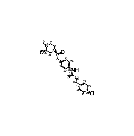 CN1CCN(C(=O)Cc2ccc(NC(=O)OCc3ccc(Cl)cc3)cc2)CC1=O